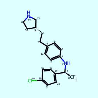 FC(F)(F)[C@H](Nc1ccc(CC[C@@H]2CCNC2)cc1)c1ccc(Cl)cc1